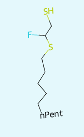 CCCCCCCCCCSC(F)CS